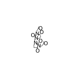 O=C1CCN(CN2CCC(=O)N(CC3CO3)C2=O)C(=O)N1CC1CO1